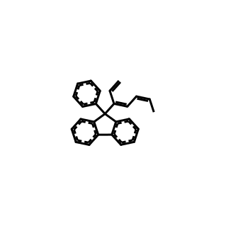 C=C/C(=C\C=C/C)C1(c2ccccc2)c2ccccc2-c2ccccc21